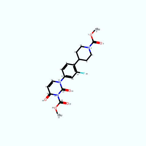 CC(C)(C)OC(=O)N1CCC(c2ccc(-n3ccc(=O)n(C(=O)OC(C)(C)C)c3=O)cc2F)CC1